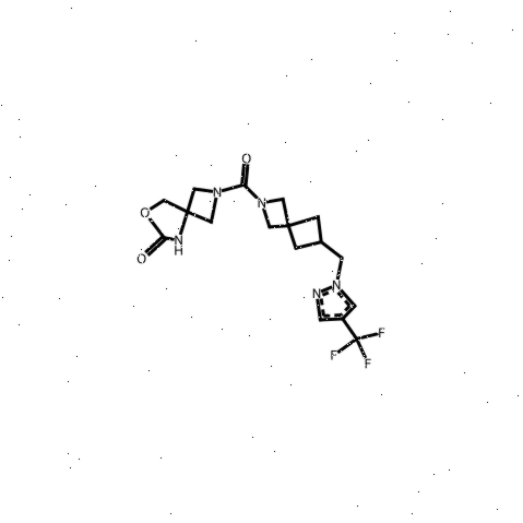 O=C1NC2(CO1)CN(C(=O)N1CC3(CC(Cn4cc(C(F)(F)F)cn4)C3)C1)C2